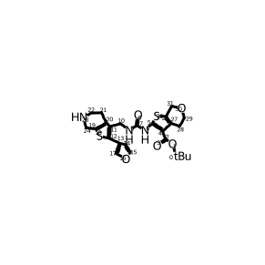 CC(C)(C)OC(=O)c1c(NC(=O)NCc2c(-c3ccoc3)sc3c2CCNC3)sc2c1CCOC2